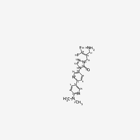 CN(C)c1ccc(-c2ccc(-n3cnn(CC(CN)=C(F)F)c3=O)cn2)cn1